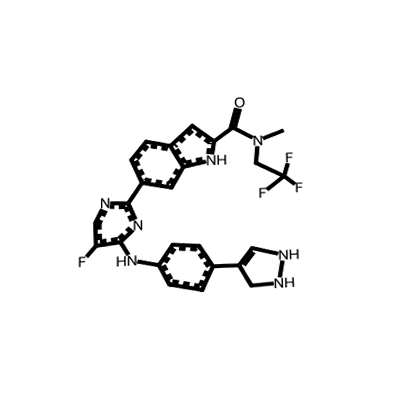 CN(CC(F)(F)F)C(=O)c1cc2ccc(-c3ncc(F)c(Nc4ccc(C5=CNNC5)cc4)n3)cc2[nH]1